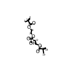 C=C(C)C(=O)OCCOP(=O)(O)CCOC(=O)C(=C)C